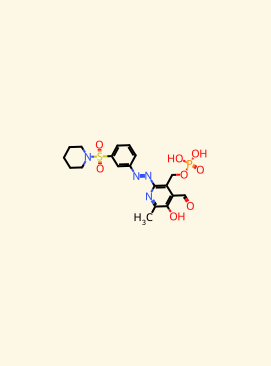 Cc1nc(N=Nc2cccc(S(=O)(=O)N3CCCCC3)c2)c(COP(=O)(O)O)c(C=O)c1O